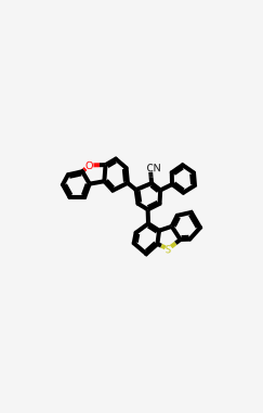 N#Cc1c(-c2ccccc2)cc(-c2cccc3sc4ccccc4c23)cc1-c1ccc2oc3ccccc3c2c1